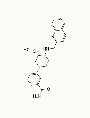 Cl.Cl.NC(=O)c1cccc(C2CCC(NCc3ccc4ccccc4n3)CC2)c1